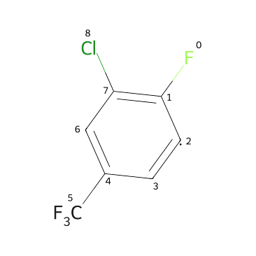 Fc1[c]cc(C(F)(F)F)cc1Cl